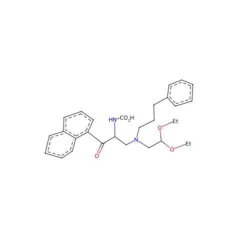 CCOC(CN(CCCc1ccccc1)CC(NC(=O)O)C(=O)c1cccc2ccccc12)OCC